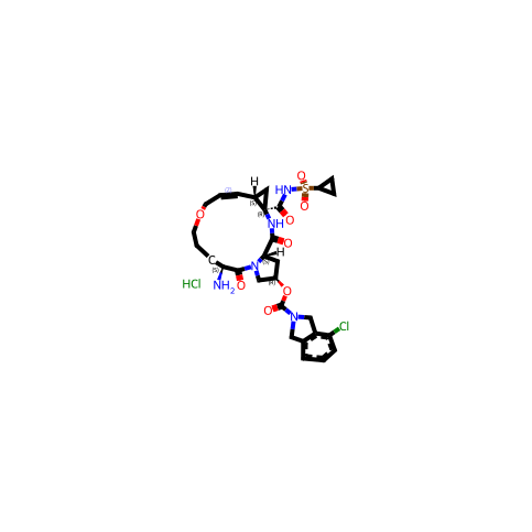 Cl.N[C@H]1CCCOC/C=C\[C@@H]2C[C@@]2(C(=O)NS(=O)(=O)C2CC2)NC(=O)[C@@H]2C[C@@H](OC(=O)N3Cc4cccc(Cl)c4C3)CN2C1=O